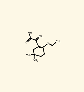 C=C(C(=O)O)C1=C(SCC)CCC(C)(C)C1